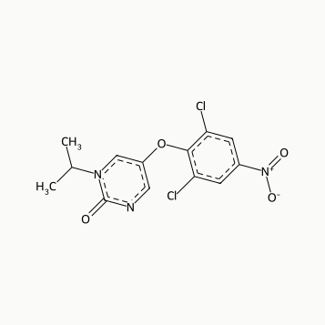 CC(C)n1cc(Oc2c(Cl)cc([N+](=O)[O-])cc2Cl)cnc1=O